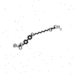 C=CCOCCCCCCCCCCOc1ccc(-c2ccc(COC(=O)C(C)CC)cc2)cc1